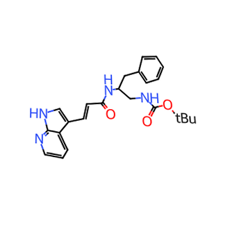 CC(C)(C)OC(=O)NCC(Cc1ccccc1)NC(=O)/C=C/c1c[nH]c2ncccc12